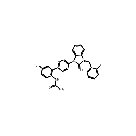 CC(=O)Nc1ccc(C)cc1-c1ccc(-n2c(=N)n(Cc3ccccc3Cl)c3ccccc32)cn1